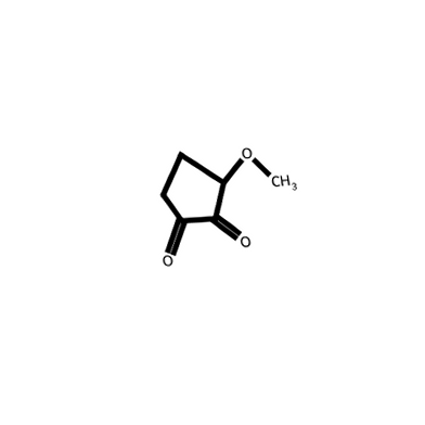 COC1CCC(=O)C1=O